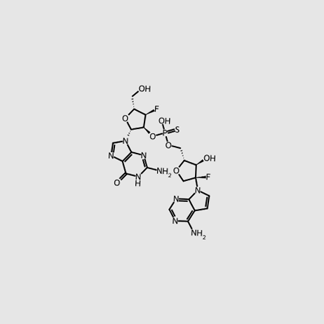 Nc1nc2c(ncn2[C@@H]2O[C@H](CO)[C@@H](F)[C@H]2OP(O)(=S)OC[C@H]2OC[C@@](F)(n3ccc4c(N)ncnc43)[C@@H]2O)c(=O)[nH]1